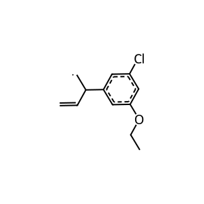 [CH2]C(C=C)c1cc(Cl)cc(OCC)c1